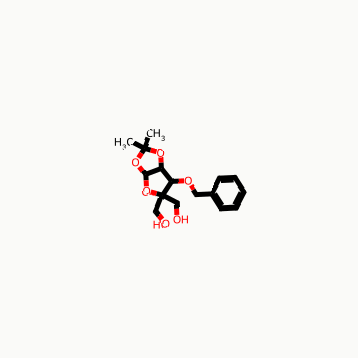 CC1(C)OC2OC(CO)(CO)C(OCc3ccccc3)C2O1